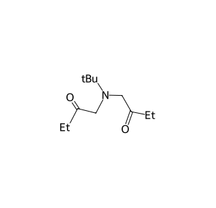 CCC(=O)CN(CC(=O)CC)C(C)(C)C